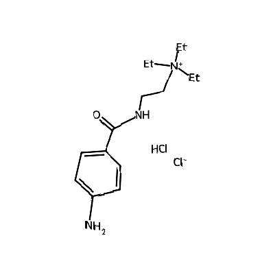 CC[N+](CC)(CC)CCNC(=O)c1ccc(N)cc1.Cl.[Cl-]